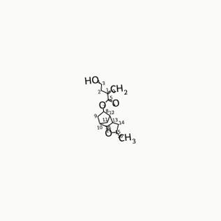 C=C(CCO)C(=O)OC1CC2CC1C1CC(C)OC21